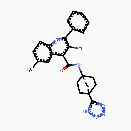 Cc1ccc2nc(-c3ccccc3)c(Cl)c(C(=O)NC34CCC(c5nnn[nH]5)(CC3)CC4)c2c1